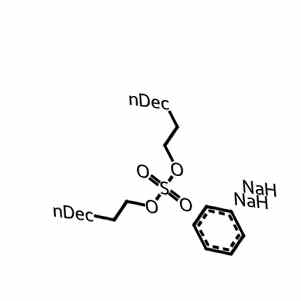 CCCCCCCCCCCCOS(=O)(=O)OCCCCCCCCCCCC.[NaH].[NaH].c1ccccc1